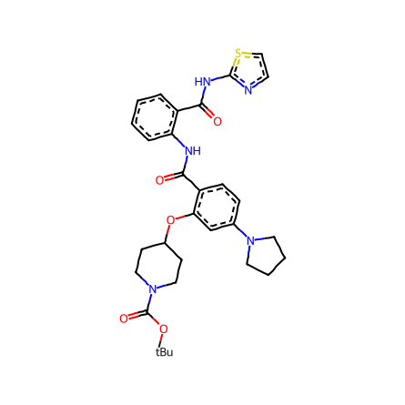 CC(C)(C)OC(=O)N1CCC(Oc2cc(N3CCCC3)ccc2C(=O)Nc2ccccc2C(=O)Nc2nccs2)CC1